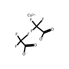 O=C([O-])C(F)(F)F.O=C([O-])C(F)(F)F.[Co+2]